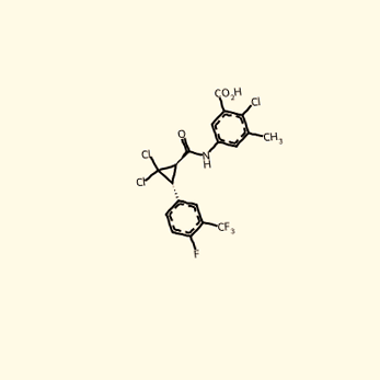 Cc1cc(NC(=O)[C@H]2[C@H](c3ccc(F)c(C(F)(F)F)c3)C2(Cl)Cl)cc(C(=O)O)c1Cl